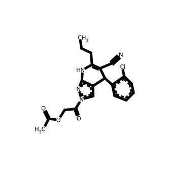 CCCC1=C(C#N)C(c2ccccc2Cl)c2cn(C(=O)COC(C)=O)nc2N1